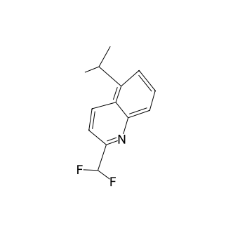 CC(C)c1cccc2nc(C(F)F)ccc12